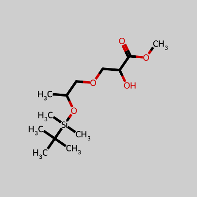 COC(=O)C(O)COCC(C)O[Si](C)(C)C(C)(C)C